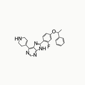 CC(Oc1ccc(-c2nc3c(C4=CCNCC4)ncnc3[nH]2)c(F)c1)c1ccccc1